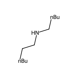 [CH2]CCCCCNCCCCC